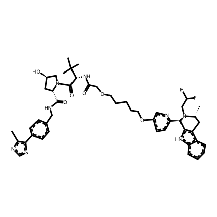 Cc1ncsc1-c1ccc(CNC(=O)[C@@H]2C[C@@H](O)CN2C(=O)[C@@H](NC(=O)COCCCCCOc2ccc([C@@H]3c4[nH]c5ccccc5c4C[C@@H](C)N3CC(F)F)nc2)C(C)(C)C)cc1